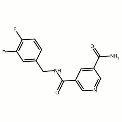 NC(=O)c1cncc(C(=O)NCc2ccc(F)c(F)c2)c1